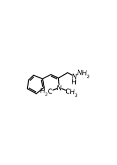 CN(C)C(=Cc1ccccc1)CNN